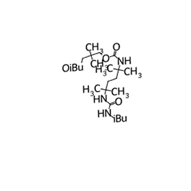 CCC(C)NC(=O)NC(C)(C)CCC(C)(C)NC(=O)OCC(C)(C)COCC(C)C